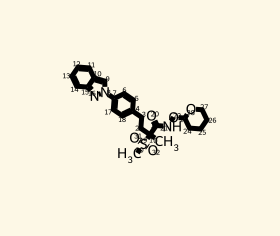 CC(CCc1ccc(-n2cc3ccccc3n2)cc1)(C(=O)NOC1CCCCO1)S(C)(=O)=O